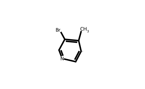 Cc1[c]cncc1Br